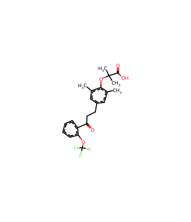 Cc1cc(CCC(=O)c2ccccc2OC(F)(F)F)cc(C)c1OC(C)(C)C(=O)O